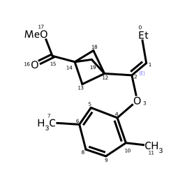 CC/C=C(/Oc1cc(C)ccc1C)C12CC(C(=O)OC)(C1)C2